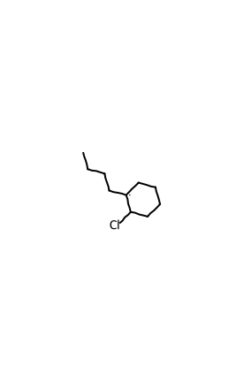 CCCC[C]1CCCCC1Cl